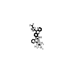 CC(C)(C)OC(=O)N1CCCCC1n1c(=O)[nH]c2c(F)c(C(c3ccccn3)c3nnc(C(F)F)o3)ccc21